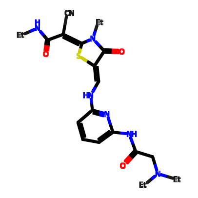 CCNC(=O)C(C#N)=c1sc(=CNc2cccc(NC(=O)CN(CC)CC)n2)c(=O)n1CC